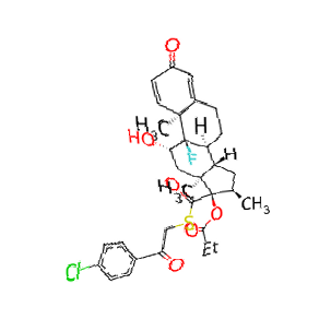 CCC(=O)O[C@]1(C(=O)SCC(=O)c2ccc(Cl)cc2)[C@H](C)C[C@H]2[C@@H]3CCC4=CC(=O)C=C[C@]4(C)[C@@]3(F)[C@@H](O)C[C@@]21C